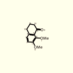 COc1ccc2c(c1OC)C(=O)CCC2